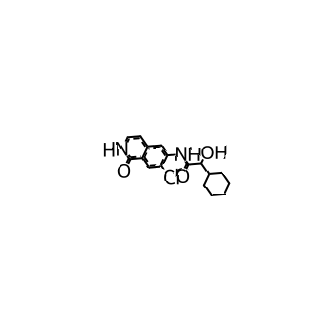 O=C(Nc1cc2cc[nH]c(=O)c2cc1Cl)C(O)C1CCCCC1